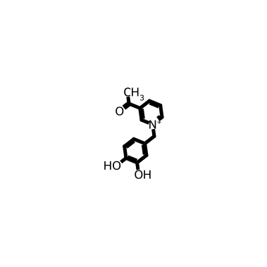 CC(=O)c1ccc[n+](Cc2ccc(O)c(O)c2)c1